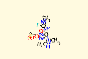 C[C@@H]1CN(c2ccc(C(=O)Nc3cc(F)c4nn(C)cc4c3)c3nc(OCC4CCS4(=O)=O)ncc23)C[C@H](C)N1